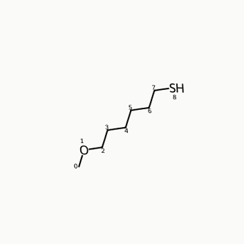 COCCCCCCS